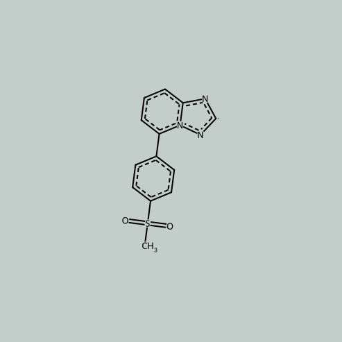 CS(=O)(=O)c1ccc(-c2cccc3n[c]nn23)cc1